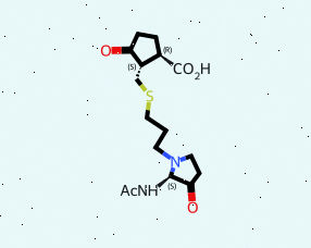 CC(=O)N[C@@H]1C(=O)CCN1CCCSC[C@@H]1C(=O)CC[C@H]1C(=O)O